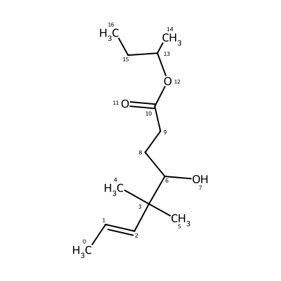 CC=CC(C)(C)C(O)CCC(=O)OC(C)CC